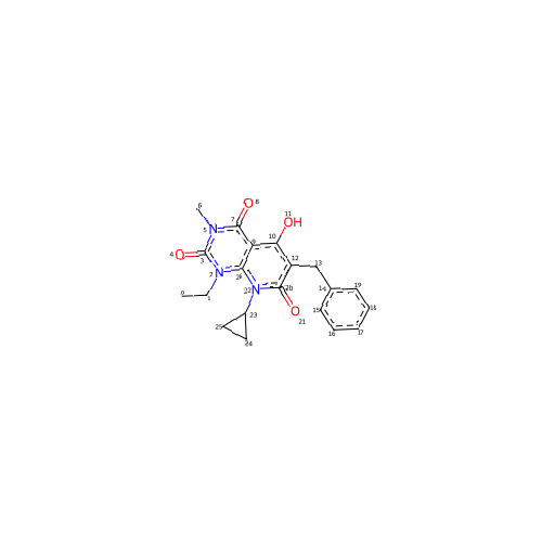 CCn1c(=O)n(C)c(=O)c2c(O)c(Cc3ccccc3)c(=O)n(C3CC3)c21